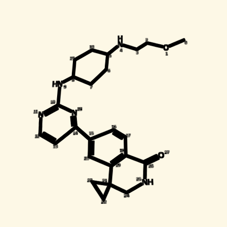 COCCNC1CCC(Nc2nccc(-c3ccc4c(c3)C3(CC3)CNC4=O)n2)CC1